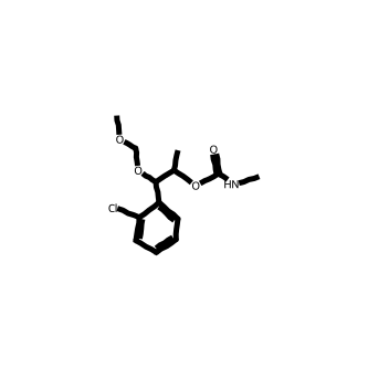 CNC(=O)OC(C)C(OCOC)c1ccccc1Cl